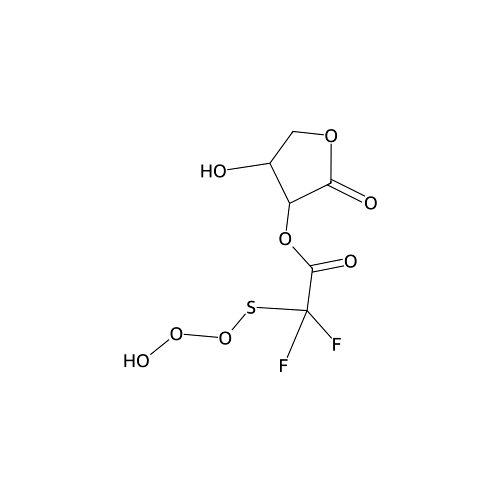 O=C1OCC(O)C1OC(=O)C(F)(F)SOOO